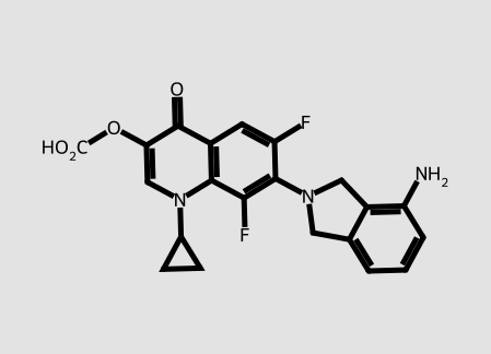 Nc1cccc2c1CN(c1c(F)cc3c(=O)c(OC(=O)O)cn(C4CC4)c3c1F)C2